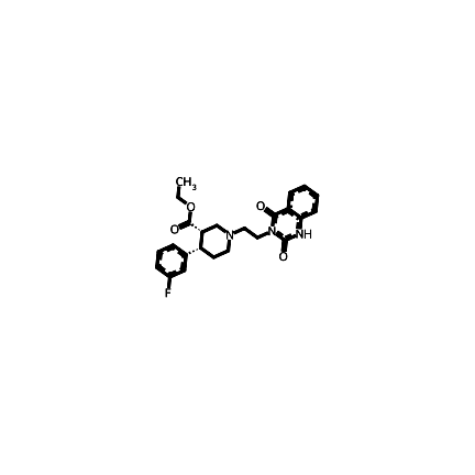 CCOC(=O)[C@@H]1CN(CCn2c(=O)[nH]c3ccccc3c2=O)CC[C@@H]1c1cccc(F)c1